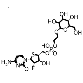 Nc1ccn([C@@H]2S[C@H](COP(=O)(O)OCCO[C@@H]3OC(CO)[C@@H](O)C(O)C3O)[C@@H](O)[C@@H]2F)c(=O)n1